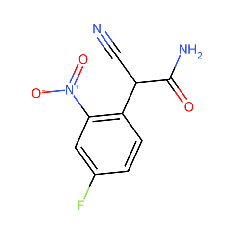 N#CC(C(N)=O)c1ccc(F)cc1[N+](=O)[O-]